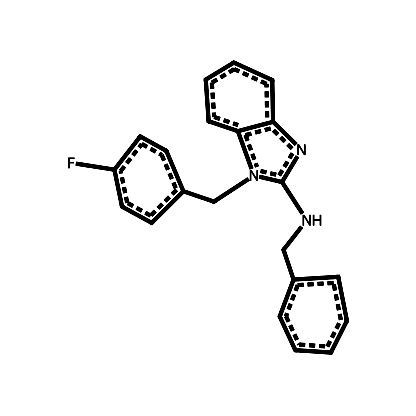 Fc1ccc(Cn2c(NCc3ccccc3)nc3ccccc32)cc1